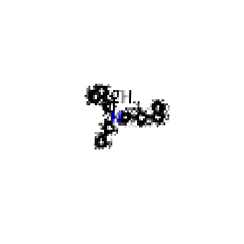 Cc1cc(N(c2ccc(-c3ccccc3)cc2)c2ccc(-c3ccc(-c4cccc5ccccc45)cc3)cc2)ccc1-c1cccc2ccccc12